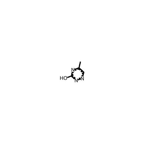 Cc1cnnc(O)n1